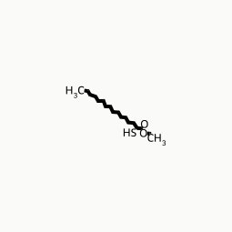 CCCCCCCCCCCCCCC(S)C(=O)OCC